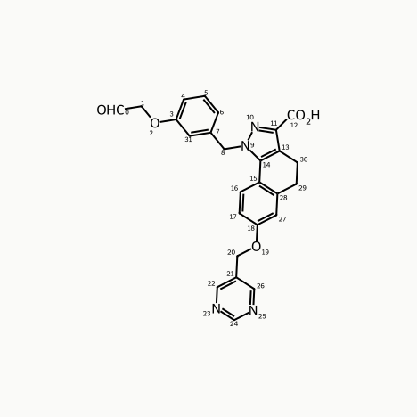 O=CCOc1cccc(Cn2nc(C(=O)O)c3c2-c2ccc(OCc4cncnc4)cc2CC3)c1